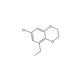 C[CH]c1cc(Cl)cc2c1OCCO2